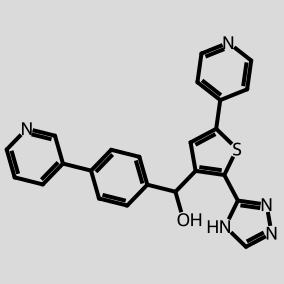 OC(c1ccc(-c2cccnc2)cc1)c1cc(-c2ccncc2)sc1-c1nnc[nH]1